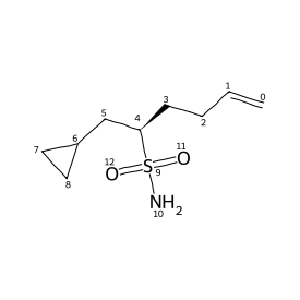 C=CCC[C@H](CC1CC1)S(N)(=O)=O